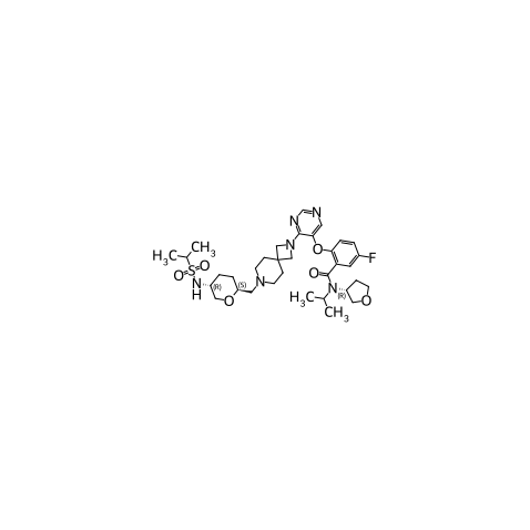 CC(C)N(C(=O)c1cc(F)ccc1Oc1cncnc1N1CC2(CCN(C[C@@H]3CC[C@@H](NS(=O)(=O)C(C)C)CO3)CC2)C1)[C@@H]1CCOC1